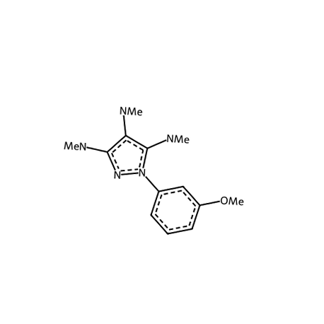 CNc1nn(-c2cccc(OC)c2)c(NC)c1NC